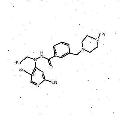 CCCN1CCN(Cc2cccc(C(=O)NN(CC(C)(C)C)c3nc(C#N)ncc3Br)c2)CC1